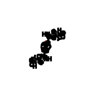 COC(=O)N[C@H](C(=O)N1CCC[C@H]1c1nc(-c2ccc(C3=CC4=CCC3CCc3ccc(c(-c5ccc(-c6c[nH]c([C@@H]7CCCN7C(=O)[C@@H](NC(=O)OC)C(C)C)n6)cc5)c3)CC4)cc2)c[nH]1)C(C)C